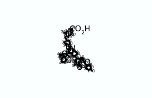 Cc1ccc(S(=O)(=O)n2ccc3c(-c4ccc5nc(N6CCC(CN7C[C@@H](C)N(C(=O)O)C[C@@H]7C)CC6)nc(C(CO)(OC6CC6)c6ccccc6)c5c4)cn(C)c(=O)c32)cc1